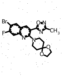 Cc1noc(-c2cc3cc(Br)c(F)cc3nc2N2CCC3(CC2)OCCO3)n1